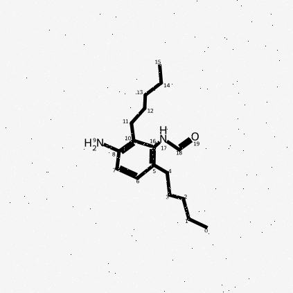 CCCCCc1ccc(N)c(CCCCC)c1NC=O